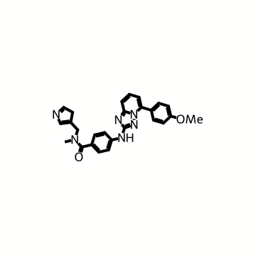 COc1ccc(-c2cccc3nc(Nc4ccc(C(=O)N(C)CC5=CN=CC5)cc4)nn23)cc1